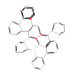 c1ccc(-c2ccccc2-c2c(-c3ccccc3)cccc2-c2ccccc2N(c2ccc3c(c2)oc2ccccc23)c2ccccc2-c2ccccc2)cc1